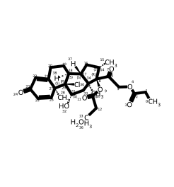 CCC(=O)OCC(=O)[C@@]1(OC(=O)CC)[C@@H](C)C[C@H]2[C@@H]3CCC4=CC(=O)C=C[C@]4(C)[C@@]3(Cl)[C@@H](O)C[C@@]21C.O